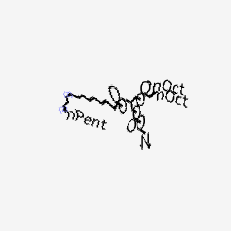 CCCCC/C=C\C/C=C\CCCCCCCC(=O)OCC(COC(=O)C=C(CCCCCCCC)CCCCCCCC)COC(=O)OCCN(C)C